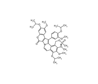 COc1cc(-c2c3c4cc(OC)c(OC(C)C)cc4oc(=O)c3n3ccc4c(OC(C)C)c(OC)c(OC)c(COS(C)(=O)=O)c4c23)ccc1OC(C)C